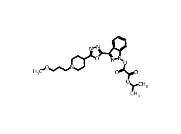 COCCCN1CCC(c2nnc(-c3nn(OC(=O)C(=O)OC(C)C)c4ccccc34)o2)CC1